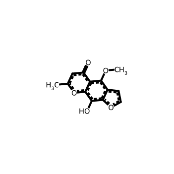 COc1c2ccoc2c(O)c2oc(C)cc(=O)c12